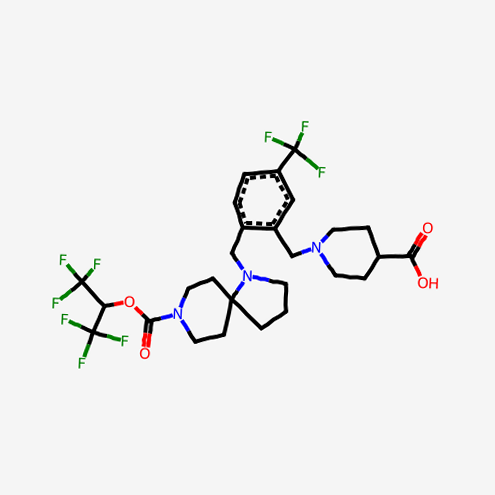 O=C(O)C1CCN(Cc2cc(C(F)(F)F)ccc2CN2CCCC23CCN(C(=O)OC(C(F)(F)F)C(F)(F)F)CC3)CC1